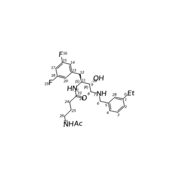 CCc1cccc(CNC[C@@H](O)[C@H](Cc2cc(F)cc(F)c2)NC(=O)CCCNC(C)=O)c1